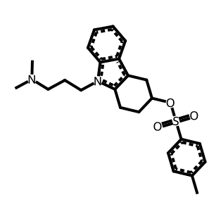 Cc1ccc(S(=O)(=O)OC2CCc3c(c4ccccc4n3CCCN(C)C)C2)cc1